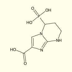 O=C(O)c1cn2c(n1)NCCC2P(=O)(O)O